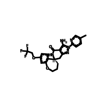 Cc1ccc(-n2nc3c(c2N)C(=O)N[C@@]2(CCCOc4cc(OCC(F)(F)F)ccc42)C3)nc1